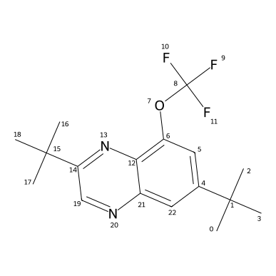 CC(C)(C)c1cc(OC(F)(F)F)c2nc(C(C)(C)C)cnc2c1